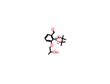 CC(O)COc1cccc(C=O)c1B1OC(C)(C)C(C)(C)O1